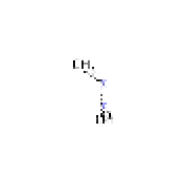 CCCCCCCC/C=C\CCCC/C=C/CC(=O)O